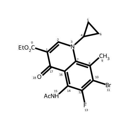 CCOC(=O)c1cn(C2CC2)c2c(C)c(Br)c(F)c(NC(C)=O)c2c1=O